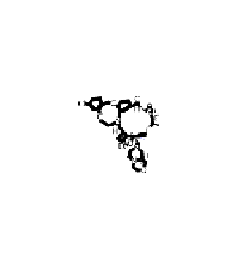 CCO[C@]1(CN2CCN3CCOC[C@@H]3C2)/C=C/C[C@H](C)[C@@H](C)S(=O)(=O)NC(=O)c2ccc3c(c2)N(CCCCc2cc(Cl)ccc2CO3)C[C@@H]2CC[C@H]21